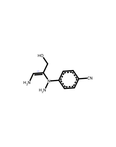 N#Cc1ccc(N(N)/C(=C\N)CO)cc1